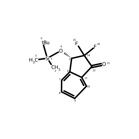 CC(C)(C)[Si](C)(C)O[C@H]1c2ccccc2C(=O)C1(F)F